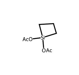 CC(=O)O[Si]1(OC(C)=O)CCC1